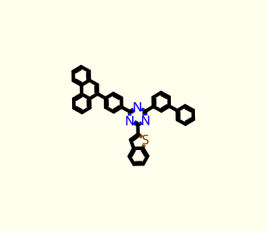 c1ccc(-c2cccc(-c3nc(-c4ccc(-c5cc6ccccc6c6ccccc56)cc4)nc(-c4cc5ccccc5s4)n3)c2)cc1